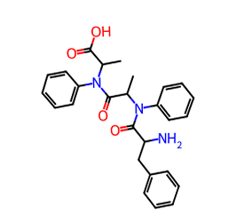 CC(C(=O)N(c1ccccc1)C(C)C(=O)O)N(C(=O)C(N)Cc1ccccc1)c1ccccc1